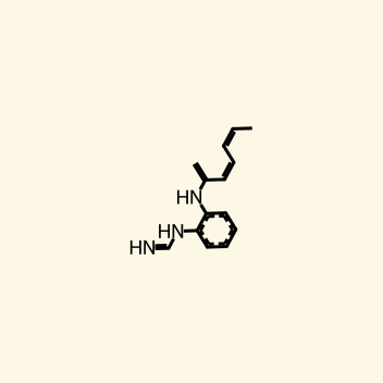 C=C(/C=C\C=C/C)Nc1ccccc1NC=N